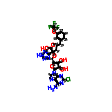 Nc1nc(Cl)nc2c1ncn2[C@@H]1O[C@H](COC(CCCc2cccc(OC(F)(F)F)c2)(C(=O)O)c2nn[nH]n2)[C@@H](O)[C@H]1O